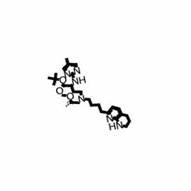 CO[C@@H](C)CN(CCCCc1ccc2c(n1)NCCC2)CCC(Nc1ncc(C)cn1)C(=O)OC(C)(C)C